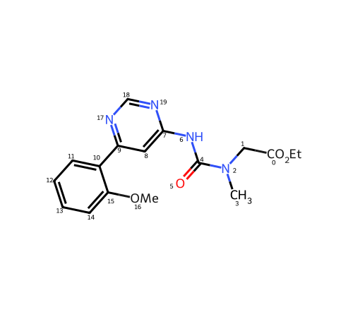 CCOC(=O)CN(C)C(=O)Nc1cc(-c2ccccc2OC)ncn1